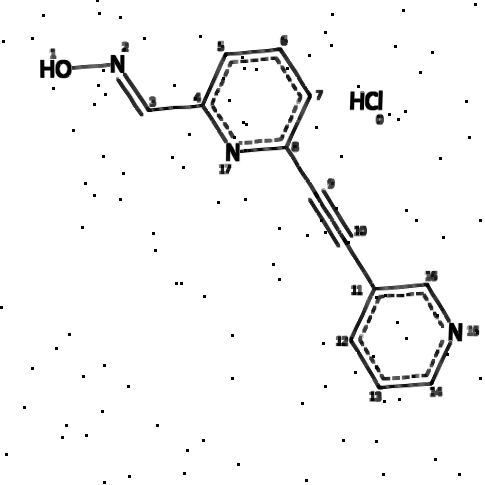 Cl.ON=Cc1cccc(C#Cc2cccnc2)n1